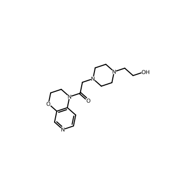 O=C(CN1CCN(CCO)CC1)N1CCOc2cnccc21